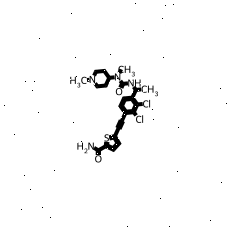 CC(NC(=O)N(C)C1CCN(C)CC1)c1ccc(C#Cc2ccc(C(N)=O)s2)c(Cl)c1Cl